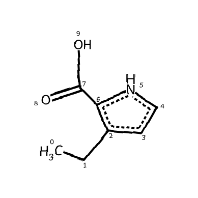 CCc1cc[nH]c1C(=O)O